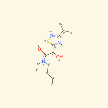 CCCCN(CC)C(=O)C(O)c1nc(C(C)C)ns1